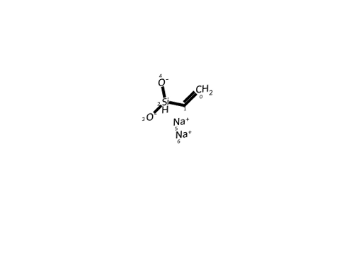 C=C[SiH]([O-])[O-].[Na+].[Na+]